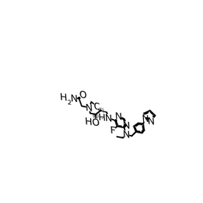 CCN(Cc1ccc(-n2cccn2)cc1)c1ncnc(NC[C@@H]2CCN(CC(N)=O)C[C@]2(C)O)c1F